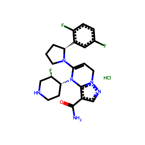 Cl.NC(=O)c1cnn2c1N([C@@H]1CCNC[C@@H]1F)C(N1CCC[C@@H]1c1cc(F)ccc1F)=CC2